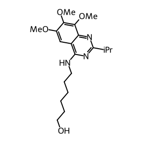 COc1cc2c(NCCCCCCO)nc(C(C)C)nc2c(OC)c1OC